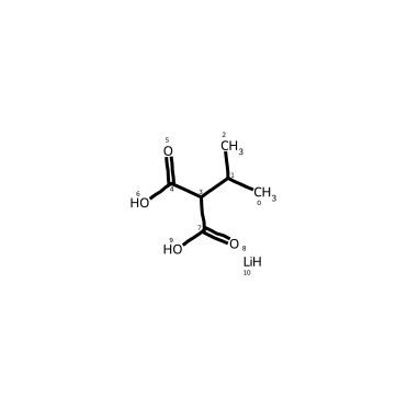 CC(C)C(C(=O)O)C(=O)O.[LiH]